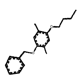 CCCCOc1cc(C)c(OCc2ccccc2)cc1C